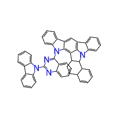 C1=CC2CCC3c4c5c(cc6c7ccccc7n(c46)C3C2C=C1)c1ccccc1n5-c1nc(-n2c3ccccc3c3ccccc32)nc2ccccc12